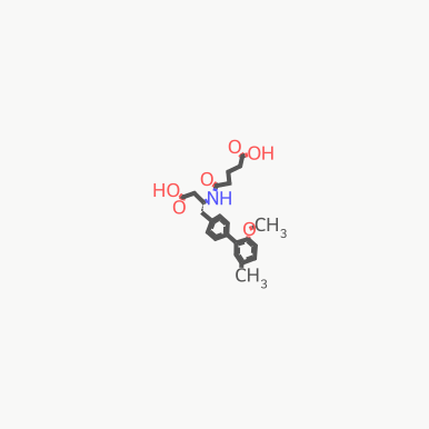 COc1ccc(C)cc1-c1ccc(C[C@H](CC(=O)O)NC(=O)CCCC(=O)O)cc1